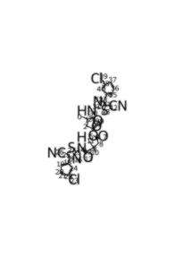 CC(CC(=O)OC(=O)CC(C)(C)C(=O)Nc1nc(-c2cccc(Cl)c2)c(C#N)s1)C(=O)Nc1nc(-c2cccc(Cl)c2)c(C#N)s1